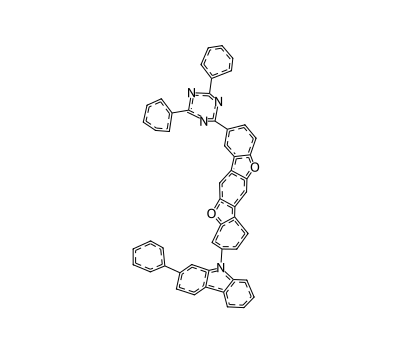 c1ccc(-c2ccc3c4ccccc4n(-c4ccc5c(c4)oc4cc6c(cc45)oc4ccc(-c5nc(-c7ccccc7)nc(-c7ccccc7)n5)cc46)c3c2)cc1